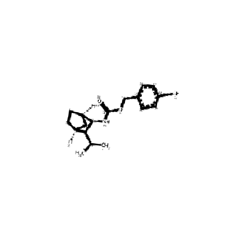 CC(C)C1[C@H]2CC[C@H](C2)[C@H]1NC(=O)OCc1ccc(Br)cc1